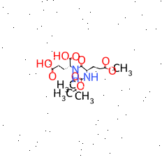 COC(=O)CC[C@@H](NC(=O)OC(C)(C)C)C(=O)N[C@H](CCC(=O)O)C(=O)O